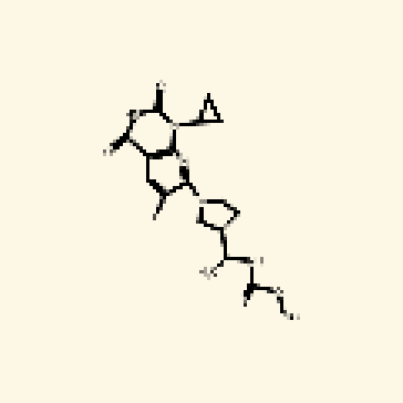 C[C@H](NC(=O)OC(C)(C)C)[C@@H]1CCN(c2nc3c(cc2F)c(=O)[nH]c(=O)n3C2CC2)C1